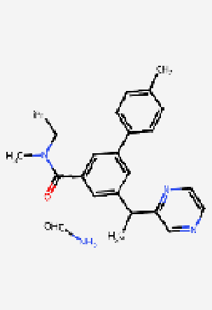 Cc1ccc(-c2cc(C(=O)N(C)CC(C)C)cc(C(C)c3cnccn3)c2)cc1.NC=O